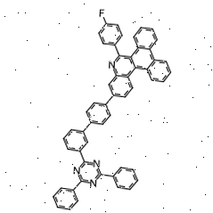 Fc1ccc(-c2nc3cc(-c4ccc(-c5cccc(-c6nc(-c7ccccc7)nc(-c7ccccc7)n6)c5)cc4)ccc3c3c4ccccc4c4ccccc4c23)cc1